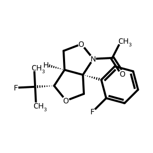 CC(=O)N1OC[C@@H]2[C@@H](C(C)(C)F)OC[C@@]21c1ccccc1F